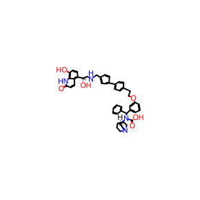 O=C(O)N(C(c1ccccc1)c1cccc(OCCc2ccc(-c3ccc(CNC[C@H](O)c4ccc(O)c5[nH]c(=O)ccc45)cc3)cc2)c1)[C@H]1CN2CCC1CC2